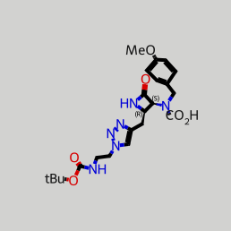 COc1ccc(CN(C(=O)O)[C@@H]2C(=O)N[C@@H]2Cc2cn(CCNC(=O)OC(C)(C)C)nn2)cc1